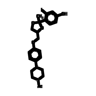 CC(=O)N1CCN(c2ccc(OCC3COC(C)(c4ccc(O)cc4I)O3)cc2)CC1